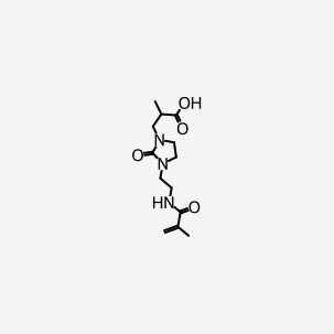 C=C(C)C(=O)NCCN1CCN(CC(C)C(=O)O)C1=O